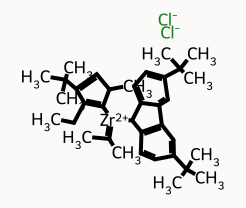 CCC1=[C]([Zr+2](=[C](C)C)[CH]2c3ccc(C(C)(C)C)cc3-c3cc(C(C)(C)C)ccc32)C(C)C=C1C(C)(C)C.[Cl-].[Cl-]